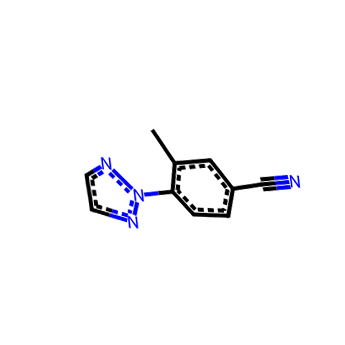 Cc1cc(C#N)ccc1-n1nccn1